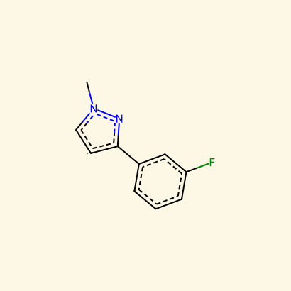 Cn1c[c]c(-c2cccc(F)c2)n1